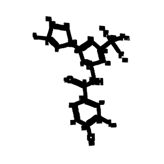 Cc1cn(-c2cc(NC(=O)c3ccc(Cl)c(I)c3)cc(C(F)(F)F)c2)cn1